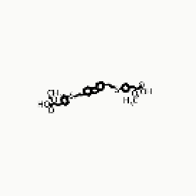 CCOC(Cc1ccc(SCC=Cc2ccc3c(c2)Cc2cc(C=CCSc4ccc(CC(OCC)C(=O)O)cc4)ccc2-3)cc1)C(=O)O